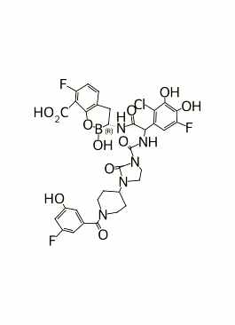 O=C(O)c1c(F)ccc2c1OB(O)[C@@H](NC(=O)C(NC(=O)N1CCN(C3CCN(C(=O)c4cc(O)cc(F)c4)CC3)C1=O)c1cc(F)c(O)c(O)c1Cl)C2